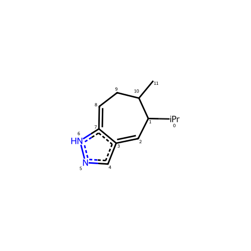 CC(C)C1C=c2cn[nH]c2=CCC1C